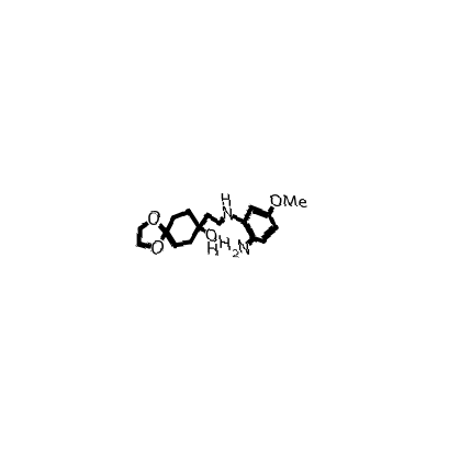 COc1ccc(N)c(NCCC2(O)CCC3(CC2)OCCO3)c1